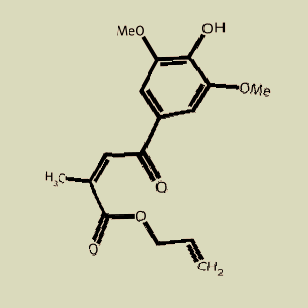 C=CCOC(=O)C(C)=CC(=O)c1cc(OC)c(O)c(OC)c1